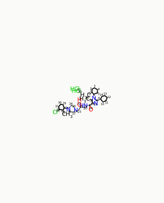 Cc1ccccc1-n1c(-c2ccccc2)nc(C(=O)NCC(O)CN2CCN(c3cccc(Cl)c3C)CC2)c1C.Cl.Cl